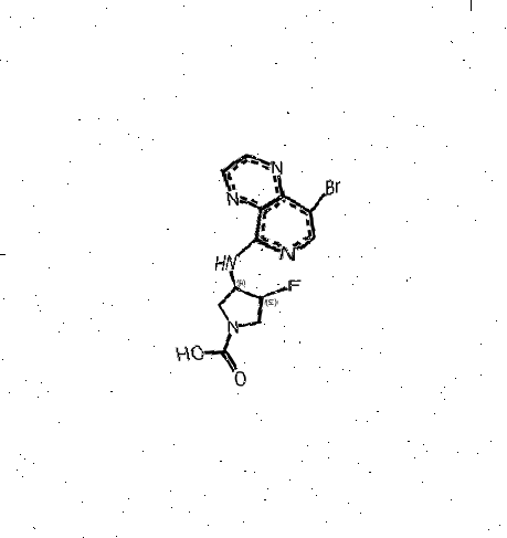 O=C(O)N1C[C@H](F)[C@H](Nc2ncc(Br)c3nccnc23)C1